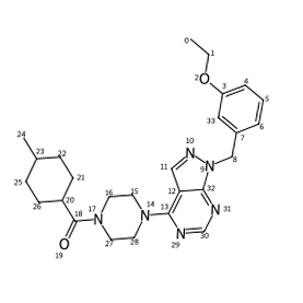 CCOc1cccc(Cn2ncc3c(N4CCN(C(=O)C5CCC(C)CC5)CC4)ncnc32)c1